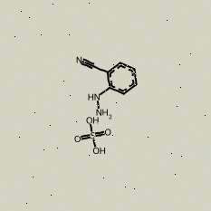 N#Cc1ccccc1NN.O=S(=O)(O)O